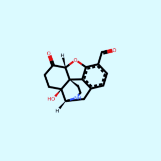 O=Cc1ccc2c3c1O[C@H]1C(=O)CC[C@@]4(O)[C@@H](C2)NCC[C@]314